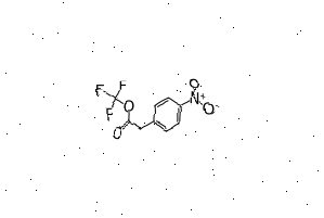 O=C(Cc1ccc([N+](=O)[O-])cc1)OC(F)(F)F